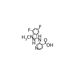 CN1NC(Nc2cnccc2C(=O)O)c2cc(F)cc(F)c21